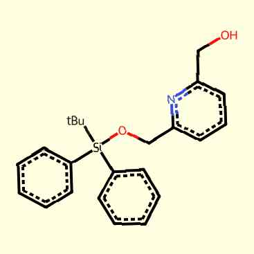 CC(C)(C)[Si](OCc1cccc(CO)n1)(c1ccccc1)c1ccccc1